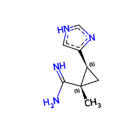 C[C@]1(C(=N)N)C[C@@H]1c1c[nH]cn1